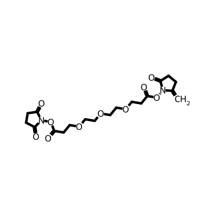 C=C1CCC(=O)N1OC(=O)CCOCCOCCOCCC(=O)ON1C(=O)CCC1=O